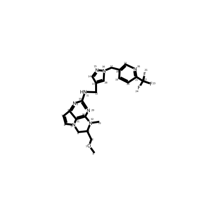 COCC1Cn2ccc3nc(NCc4cnn(Cc5ccc(C(F)(F)F)nc5)c4)nc(c32)N1C